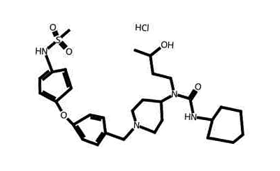 CC(O)CCN(C(=O)NC1CCCCC1)C1CCN(Cc2ccc(Oc3ccc(NS(C)(=O)=O)cc3)cc2)CC1.Cl